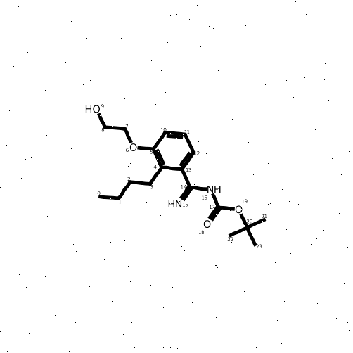 CCCCc1c(OCCO)cccc1C(=N)NC(=O)OC(C)(C)C